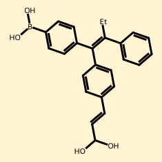 CC/C(=C(/c1ccc(/C=C/C(O)O)cc1)c1ccc(B(O)O)cc1)c1ccccc1